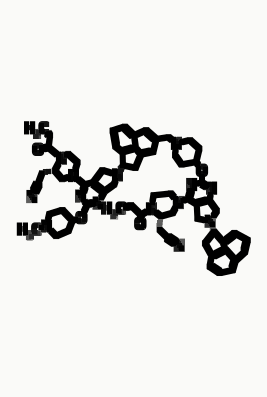 C=CC(=O)N1CCN(c2nc(OC3CCN(C)CC3)nc3c2CN([C@@H]2Cc4cc(CN5CCC(Oc6nc7c(c(N8CCN(C(=O)C=C)[C@@H](CC#N)C8)n6)CN([C@H]6Cc8cccc9cccc6c89)C7)CC5)cc5cccc2c45)C3)C[C@@H]1CC#N